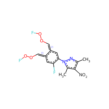 Cc1nn(-c2cc(=C/OOF)/c(=C/OOF)cc2F)c(C)c1[N+](=O)[O-]